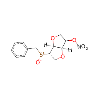 O=[N+]([O-])O[C@@H]1CO[C@H]2[C@@H]1OC[C@@H]2[S@+]([O-])Cc1ccccc1